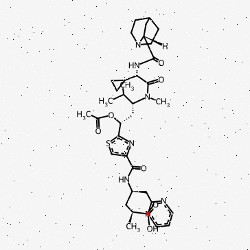 CC(=O)O[C@H](C[C@H](C(C)C)N(C)C(=O)[C@@H](NC(=O)[C@H]1CC2CCN1CC2)C1CC1)c1nc(C(=O)N[C@@H](Cc2ncccn2)C[C@H](C)C(=O)O)cs1